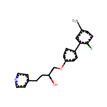 O=[N+]([O-])c1ccc(F)c(-c2ccc(OCC(O)CCc3ccncc3)cc2)c1